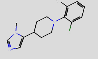 Cn1cncc1C1CCN(c2c(Br)cccc2C#N)CC1